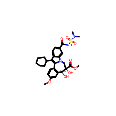 COC(=O)[C@@]1(O)Cn2c(c(C3CCCCC3)c3ccc(C(=O)NS(=O)(=O)N(C)C)cc32)-c2ccc(OC)cc2[C@@H]1O